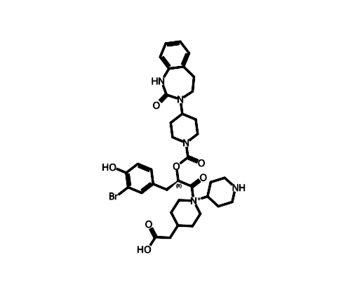 O=C(O)CC1CC[N+](C(=O)[C@@H](Cc2ccc(O)c(Br)c2)OC(=O)N2CCC(N3CCc4ccccc4NC3=O)CC2)(C2CCNCC2)CC1